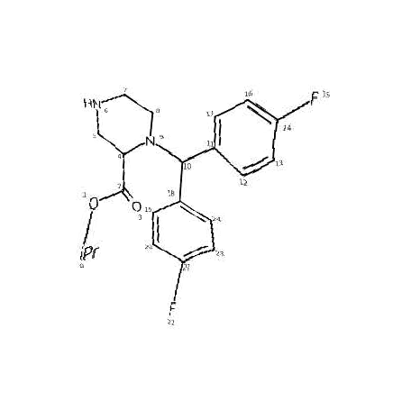 CC(C)OC(=O)C1CNCCN1C(c1ccc(F)cc1)c1ccc(F)cc1